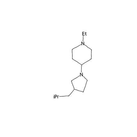 CCN1CCC(N2CCC(CC(C)C)C2)CC1